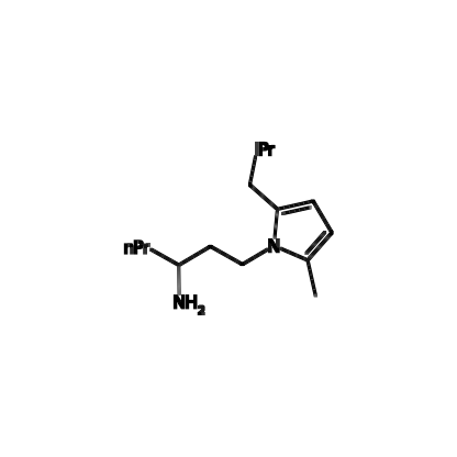 CCCC(N)CCn1c(C)ccc1CC(C)C